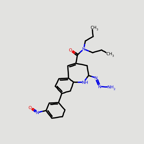 CCCN(CCC)C(=O)C1=CC2=CC=C(C3=CC(N=O)=CCC3)CC2NC(N=NN)C1